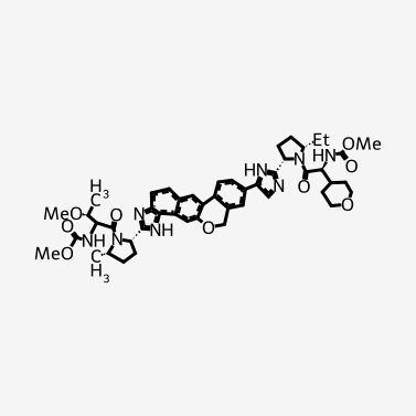 CC[C@H]1CC[C@@H](c2ncc(-c3ccc4c(c3)COc3cc5c(ccc6nc([C@@H]7CC[C@H](C)N7C(=O)C(NC(=O)OC)[C@@H](C)OC)[nH]c65)cc3-4)[nH]2)N1C(=O)[C@@H](NC(=O)OC)C1CCOCC1